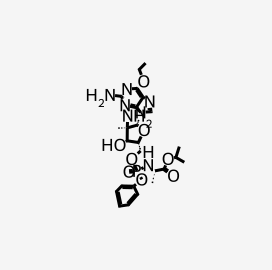 CCOc1nc(N)nc2c1ncn2[C@@H]1O[C@H](COP(=O)(N[C@@H](C)C(=O)OC(C)C)Oc2ccccc2)[C@@H](O)[C@@]1(C)N